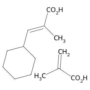 C=C(C)C(=O)O.CC(=CC1CCCCC1)C(=O)O